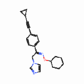 C(#CC1CC1)c1ccc(/C(Cn2ccnc2)=N/OC2CCCCC2)cc1